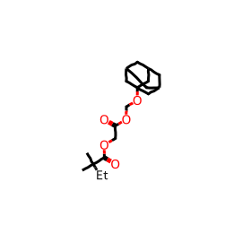 CCC(C)(C)C(=O)OCC(=O)OCOC12CC3CC(CC(C3)C1)C2